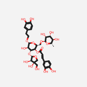 C[C@@H]1O[C@@H](OC[C@H]2O[C@@H](OCCc3ccc(O)c(O)c3)[C@H](O)[C@@H](O[C@@H]3OC[C@](O)(CO)[C@H]3O)[C@@H]2OC(=O)/C=C/c2ccc(O)c(O)c2)[C@H](O)[C@H](O)[C@H]1O